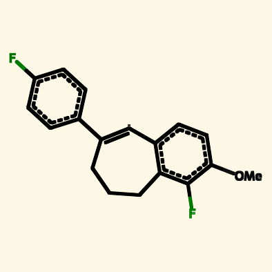 COc1ccc2c(c1F)CCCC(c1ccc(F)cc1)=[C]2